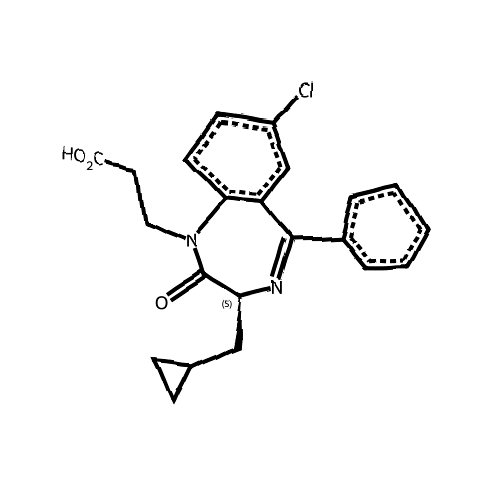 O=C(O)CCN1C(=O)[C@H](CC2CC2)N=C(c2ccccc2)c2cc(Cl)ccc21